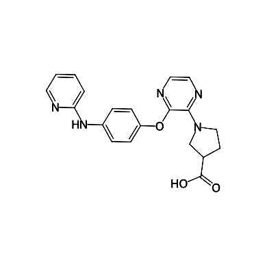 O=C(O)C1CCN(c2nccnc2Oc2ccc(Nc3ccccn3)cc2)C1